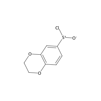 [O-][S+](Cl)c1ccc2c(c1)OCCO2